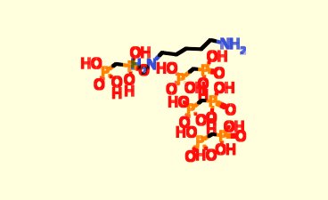 NCCCCCN.O=P(O)(O)CP(=O)(O)O.O=P(O)(O)CP(=O)(O)O.O=P(O)(O)CP(=O)(O)O.O=P(O)(O)CP(=O)(O)O